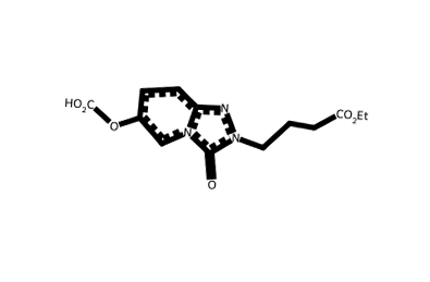 CCOC(=O)CCCn1nc2ccc(OC(=O)O)cn2c1=O